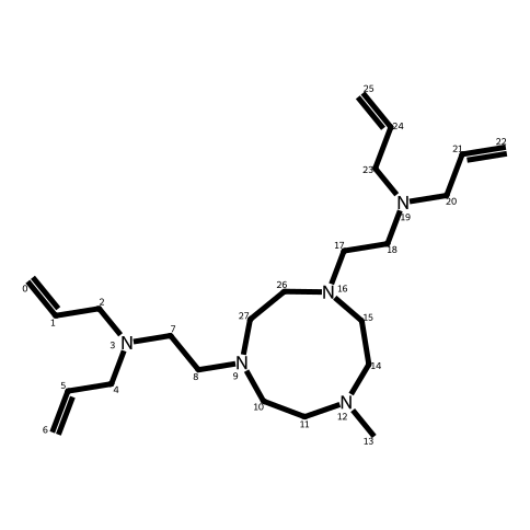 C=CCN(CC=C)CCN1CCN(C)CCN(CCN(CC=C)CC=C)CC1